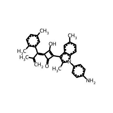 C=C(C)/C(=C1\C(=O)C(c2c(C)n(-c3ccc(N)cc3)c3ccc(C)cc23)=C1O)c1cc(C)ccc1C